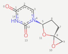 O=c1ccn([C@H]2CC[C@]3(CO3)O2)c(=O)[nH]1